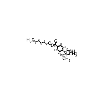 [CH2]CCCCCOOC(=O)c1ccc([Si](C=C)(C=C)CC)cc1